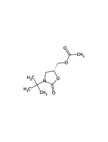 CC(=O)OC[C@H]1CN(C(C)(C)C)C(=O)O1